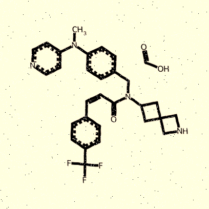 CN(c1ccncc1)c1ccc(CN(C(=O)C=Cc2ccc(C(F)(F)F)cc2)C2CC3(CNC3)C2)cc1.O=CO